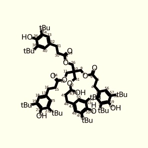 CC(C)(C)c1cc(CCC(=O)OCC(COC(=O)CCc2cc(C(C)(C)C)c(O)c(C(C)(C)C)c2)(COC(=O)CCc2cc(C(C)(C)C)c(O)c(C(C)(C)C)c2)COC(O)CCc2cc(C(C)(C)C)c(O)c(C(C)(C)C)c2)cc(C(C)(C)C)c1O